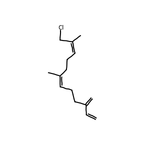 C=CC(=C)CCC=C(C)CCC=C(C)CCl